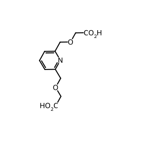 O=C(O)COCc1cccc(COCC(=O)O)n1